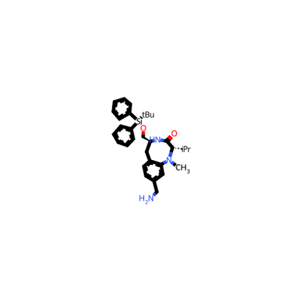 CC(C)[C@H]1C(=O)N[C@H](CO[Si](c2ccccc2)(c2ccccc2)C(C)(C)C)Cc2ccc(CN)cc2N1C